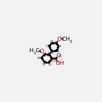 COc1ccc(-c2c(OC)cccc2C(=O)O)cc1